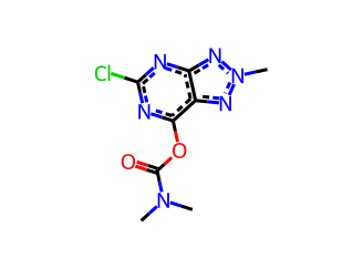 CN(C)C(=O)Oc1nc(Cl)nc2nn(C)nc12